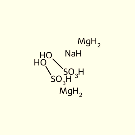 O=S(=O)(O)O.O=S(=O)(O)O.[MgH2].[MgH2].[NaH]